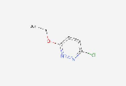 CC(=O)COc1ccc(Cl)nn1